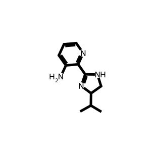 CC(C)C1CNC(c2ncccc2N)=N1